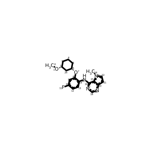 CO[C@@H]1CCC[C@H](Oc2cc(F)ccc2Nc2ncnc3ccn(C)c23)C1